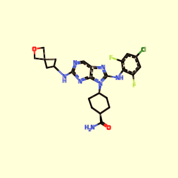 NC(=O)[C@H]1CC[C@@H](n2c(Nc3c(F)cc(Cl)cc3F)nc3cnc(NC4CC5(COC5)C4)nc32)CC1